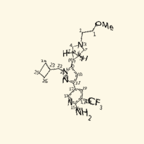 COCCN1C[C@@H]2[C@H](C1)[C@H]2c1cc(-c2cnc(N)c(C(F)(F)F)c2)nn1CC1CCC1